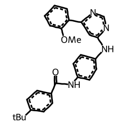 COc1ccccc1-c1cc(Nc2ccc(NC(=O)c3ccc(C(C)(C)C)cc3)cc2)ncn1